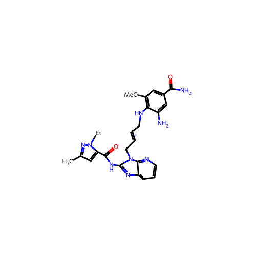 CCn1nc(C)cc1C(=O)Nc1nc2cccnc2n1C/C=C/CNc1c(N)cc(C(N)=O)cc1OC